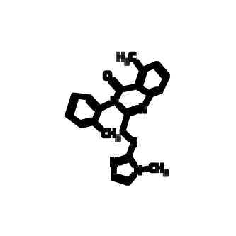 Cc1ccccc1-n1c(CSc2nccn2C)nc2cccc(C)c2c1=O